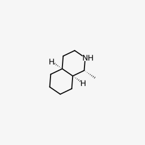 C[C@H]1NCC[C@@H]2CCCC[C@@H]21